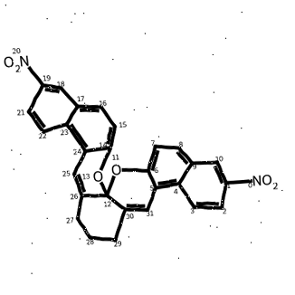 O=[N+]([O-])c1ccc2c3c(ccc2c1)OC12Oc4ccc5cc([N+](=O)[O-])ccc5c4C=C1CCCC2=C3